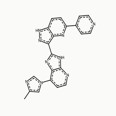 Cc1cn(-c2ccnc3[nH]c(-c4n[nH]c5ccc(-c6ccncc6)nc45)nc23)cn1